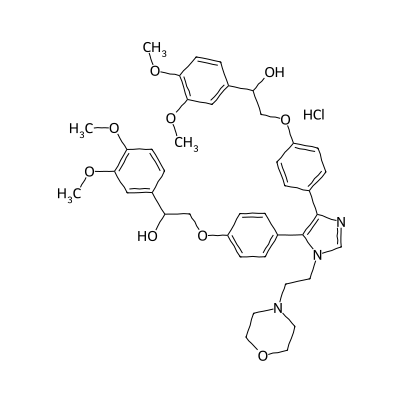 COc1ccc(C(O)COc2ccc(-c3ncn(CCN4CCOCC4)c3-c3ccc(OCC(O)c4ccc(OC)c(OC)c4)cc3)cc2)cc1OC.Cl